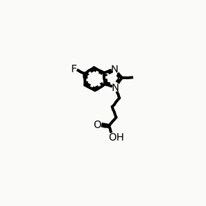 Cc1nc2cc(F)ccc2n1CCCC(=O)O